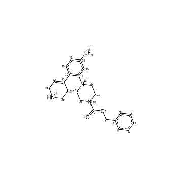 O=C(OCc1ccccc1)N1CCN(c2cc(C(F)(F)F)ccc2C2=CCNCC2)CC1